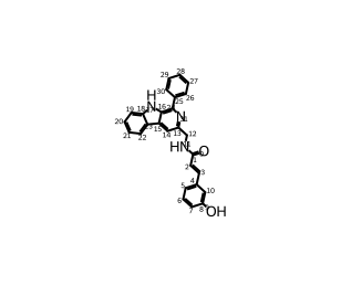 O=C(/C=C/c1cccc(O)c1)NCc1cc2c([nH]c3ccccc32)c(-c2ccccc2)n1